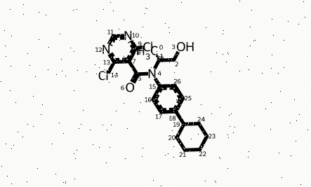 C[C@H](CO)N(C(=O)c1c(Cl)ncnc1Cl)c1ccc(C2CCCCC2)cc1